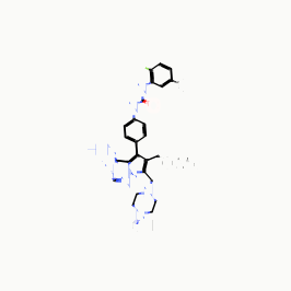 COCc1c(-c2ccc(NC(=O)Nc3cc(C(F)(F)F)ccc3F)cc2)c2c(N)ncnn2c1CN1CCN(C)CC1